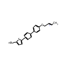 C/C=C/COc1ccc(-c2ccc(-c3ccc(CCCC)s3)cc2)cc1